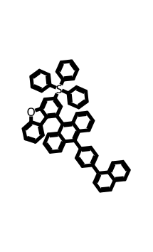 c1ccc(S(c2ccccc2)(c2ccccc2)c2cc(-c3c4ccccc4c(-c4ccc(-c5cccc6ccccc56)cc4)c4ccccc34)c3c(c2)oc2ccccc23)cc1